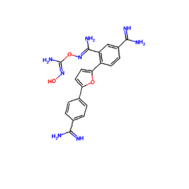 N=C(N)c1ccc(-c2ccc(-c3ccc(C(=N)N)cc3C(N)=NOC(N)=NO)o2)cc1